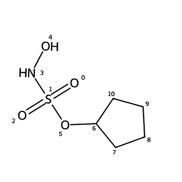 O=S(=O)(NO)OC1CCCC1